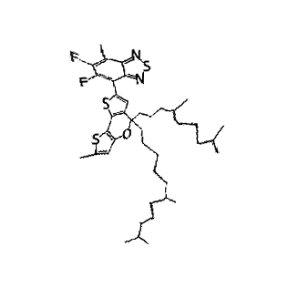 Cc1cc2c(s1)-c1sc(-c3c(F)c(F)c(C)c4nsnc34)cc1C(CCCCCC(C)CCCC(C)C)(CCCC(C)CCCC(C)C)O2